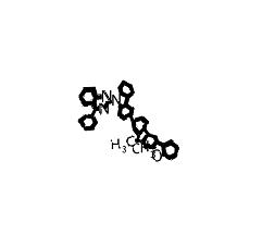 CC1(C)c2cc(-c3ccc4c(c3)c3ccccc3n4-c3nc(-c4ccccc4)c4ccccc4n3)ccc2-c2cc3c(cc21)oc1ccccc13